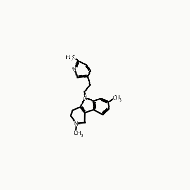 Cc1ccc2c3c(n(CCc4ccc(C)nc4)c2c1)CCN(C)C3